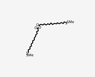 CSSCCCCCCCCCCCCCCCC(=O)OC(=O)CCCCCCCCCCCCCCCSSC